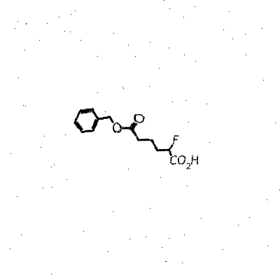 O=C(CCCC(F)C(=O)O)OCc1ccccc1